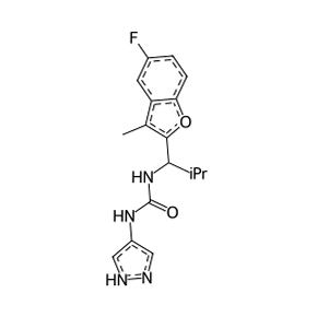 Cc1c(C(NC(=O)Nc2cn[nH]c2)C(C)C)oc2ccc(F)cc12